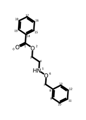 O=C(OCCNOCc1ccccc1)c1ccccc1